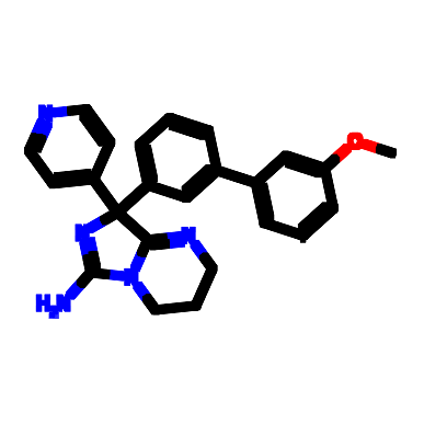 COc1c[c]cc(-c2cccc(C3(c4ccncc4)N=C(N)N4CCCN=C43)c2)c1